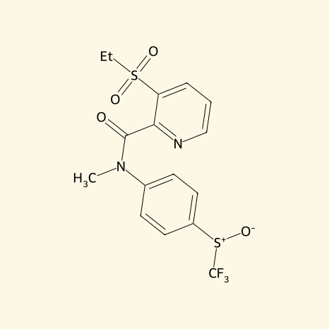 CCS(=O)(=O)c1cccnc1C(=O)N(C)c1ccc([S+]([O-])C(F)(F)F)cc1